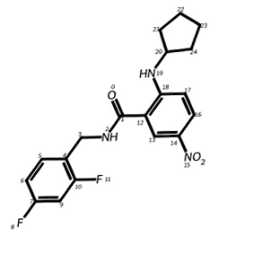 O=C(NCc1ccc(F)cc1F)c1cc([N+](=O)[O-])ccc1NC1CCCC1